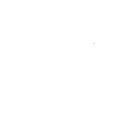 CCc1ccnc2c(C)cccc12